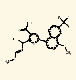 BOC=NC(C)c1nc(-c2ccc(OC)c3nc(C(F)(F)F)ccc23)sc1C(=O)O